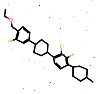 CCOCc1ccc(C2CCC(c3ccc(C4CCC(C)CC4)c(F)c3F)CC2)cc1F